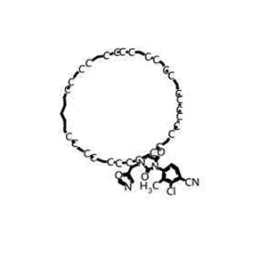 Cc1c(N2C(=O)N(Cc3cnco3)C3(CCCCCCCCCCCCCCCCCCCCCCCCCCCCCCCCCCCCCCCCC3)C2=O)ccc(C#N)c1Cl